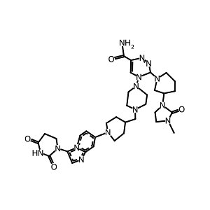 CN1CCN(C2CCCN(C3N=NC(C(N)=O)=CN3N3CCN(CC4CCN(c5ccn6c(N7CCC(=O)NC7=O)cnc6c5)CC4)CC3)C2)C1=O